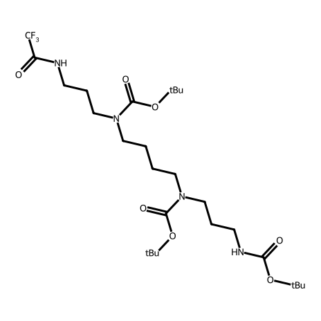 CC(C)(C)OC(=O)NCCCN(CCCCN(CCCNC(=O)C(F)(F)F)C(=O)OC(C)(C)C)C(=O)OC(C)(C)C